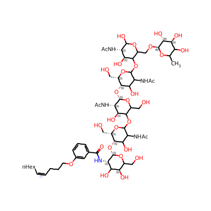 CCCCCC/C=C\CCCOc1cccc(C(=O)N[C@H]2C(O)[C@H](O)C(CO)O[C@H]2O[C@H]2C(O)C(NC(C)=O)C(OC3C(CO)O[C@@H](O[C@H]4C(O)C(NC(C)=O)C(OC5C(CO[C@@H]6OC(C)C(O)[C@H](O)[C@H]6O)OC(O)[C@@H](NC(C)=O)[C@@H]5O)O[C@H]4CO)[C@@H](NC(C)=O)[C@@H]3O)O[C@H]2CO)c1